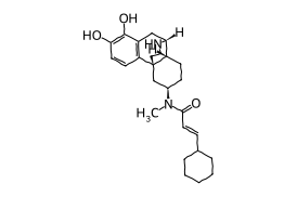 CN(C(=O)/C=C/C1CCCCC1)[C@@H]1CC[C@H]2[C@H]3Cc4c(ccc(O)c4O)[C@@]2(CCN3)C1